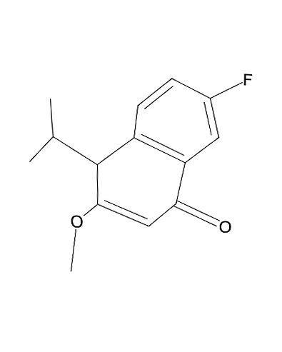 COC1=CC(=O)c2cc(F)ccc2C1C(C)C